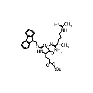 CC(=N)NCCC[C@H](C)/C(N)=N/OC(=O)[C@H](CCC(=O)OC(C)(C)C)NC(=O)OCC1c2ccccc2-c2ccccc21